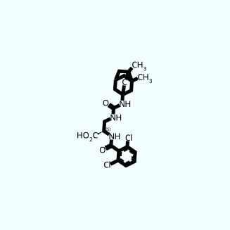 CC12CC3CC(NC(=O)NC[C@H](NC(=O)c4c(Cl)cccc4Cl)C(=O)O)(C1)CC2(C)C3